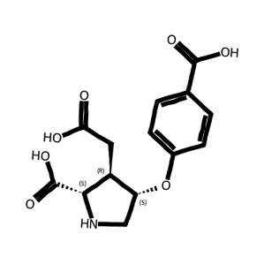 O=C(O)C[C@@H]1[C@@H](C(=O)O)NC[C@H]1Oc1ccc(C(=O)O)cc1